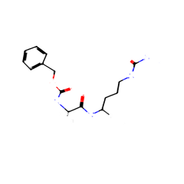 CC(C)[C@@H](NC(=O)OCc1ccccc1)C(=O)NC(CCCNC(N)=O)C(=O)O